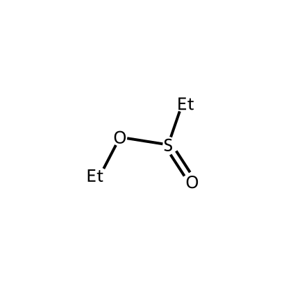 [CH2]COS(=O)CC